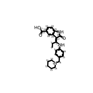 CC/C(Nc1ccc(CN2CCCCC2)cc1)=C1/C(=O)Nc2ccc(C(=O)O)cc21